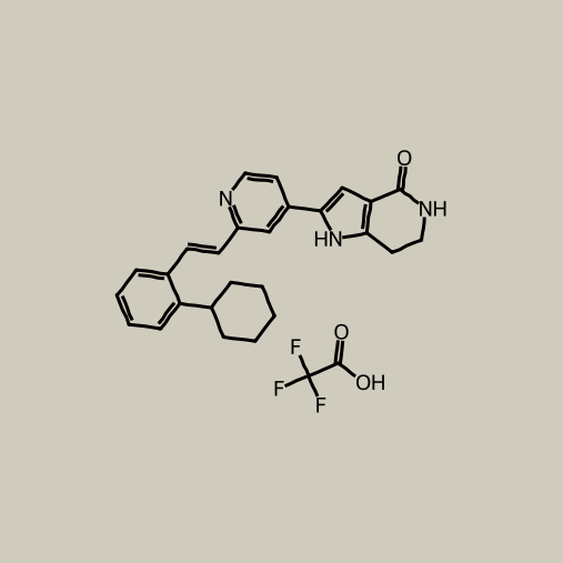 O=C(O)C(F)(F)F.O=C1NCCc2[nH]c(-c3ccnc(/C=C/c4ccccc4C4CCCCC4)c3)cc21